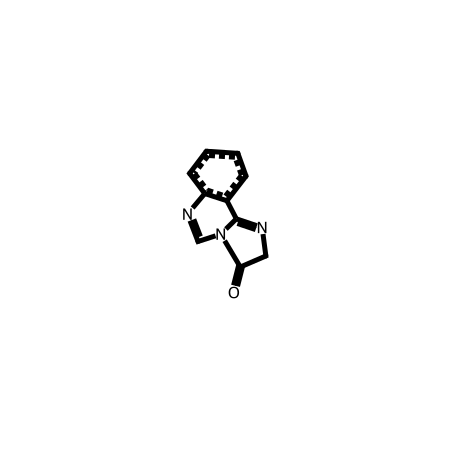 O=C1CN=C2c3ccccc3N=CN12